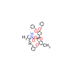 Cc1cc(OCc2ccccc2)c2c(c1)O[C@H](c1ccc(OCc3ccccc3)c(OCc3ccccc3)c1)[C@H](OC(=O)NC(C)C)C2